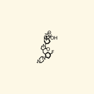 CN1CCN(c2ccc(F)cc2CC2CCN(c3ccc([C@@](C)(O)S(C)(=O)=O)nc3)C2=O)CC1